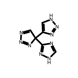 C1=NN=NC1(c1c[nH]nn1)c1nc[nH]n1